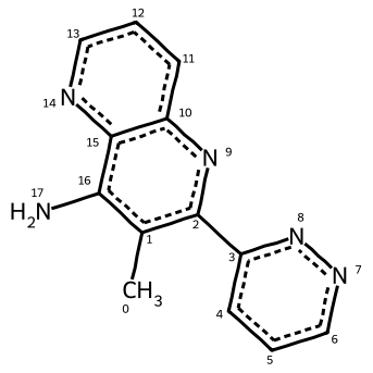 Cc1c(-c2cccnn2)nc2cccnc2c1N